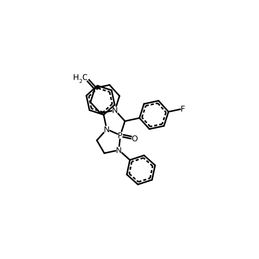 C=C1CCN(C(c2ccc(F)cc2)P2(=O)N(c3ccccc3)CCN2c2ccccc2)CC1